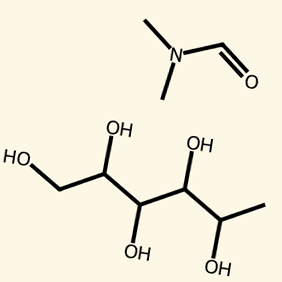 CC(O)C(O)C(O)C(O)CO.CN(C)C=O